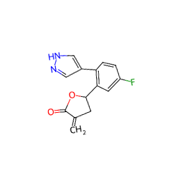 C=C1CC(c2cc(F)ccc2-c2cn[nH]c2)OC1=O